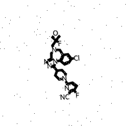 N#Cc1nc(N2CCC(c3nnc4n3-c3ccc(Cl)cc3CN(CC3(F)COC3)C4)CC2)ccc1F